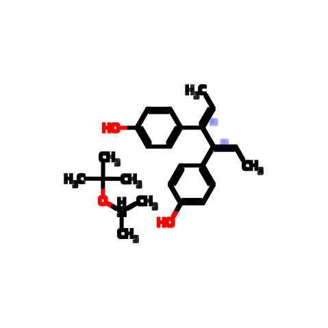 C/C=C(/C(=C/C)c1ccc(O)cc1)c1ccc(O)cc1.C[SiH](C)OC(C)(C)C